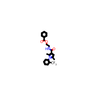 Cc1cc(C(=O)NCCOC(=O)c2ccccc2)c(C)n1-c1ccccc1C(F)(F)F